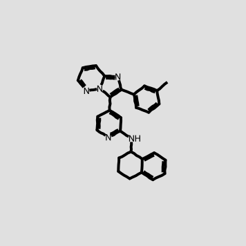 Cc1cccc(-c2nc3cccnn3c2-c2ccnc(NC3CCCc4ccccc43)c2)c1